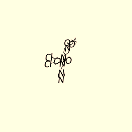 CN1CCN(CCn2c(=O)n(C3CCN(C(=O)OC(C)(C)C)CC3)c3cc(Cl)c(Cl)cc32)CC1